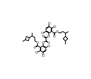 CC1CC(C(C)CCOC(=O)c2c(Cl)c(Cl)cc(Cl)c2OC(=O)C(=O)Oc2c(Cl)cc(Cl)c(Cl)c2C(=O)OCCC(C)C2CC(C)C2)C1